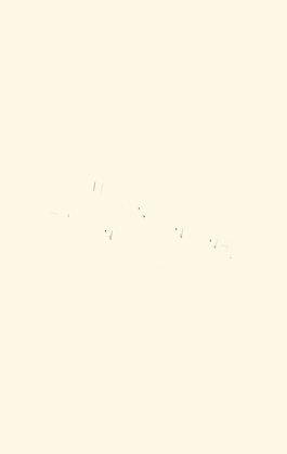 CC(C)c1cnc(-c2nc(N)cs2)cn1